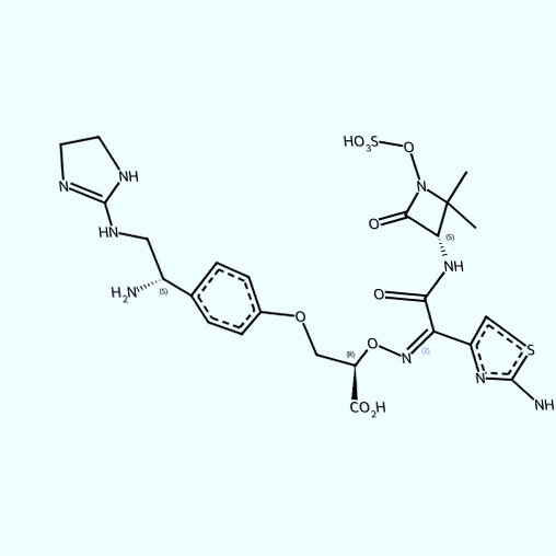 CC1(C)[C@H](NC(=O)/C(=N\O[C@H](COc2ccc([C@H](N)CNC3=NCCN3)cc2)C(=O)O)c2csc(N)n2)C(=O)N1OS(=O)(=O)O